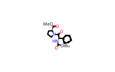 COC(=O)[C@@H]1CCCN1C(=O)[C@H](NC(=O)OCC(C)C)c1ccccc1